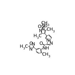 Cc1nc(-c2ccc(C)c(NC(=O)c3cnc4ccc(-c5c(C)nn(S(C)(=O)=O)c5C)cn34)c2)no1